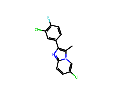 Cc1c(-c2ccc(F)c(Cl)c2)nc2ccc(Cl)cn12